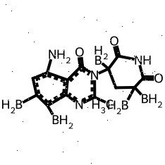 Bc1cc(N)c2c(=O)n(C3(B)CC(B)(B)C(=O)NC3=O)c(C)nc2c1B